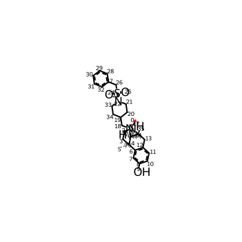 CN1CC[C@]2(C)c3cc(O)ccc3C[C@@H]1[C@@H]2N(C)CC1CCN(S(=O)(=O)Cc2ccccc2)CC1